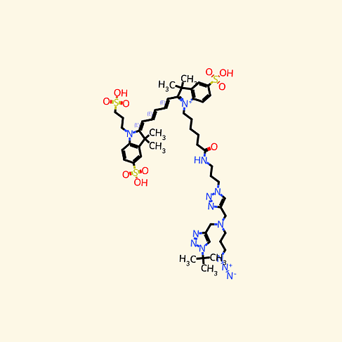 CC1(C)C(/C=C/C=C/C=C2/N(CCCS(=O)(=O)O)c3ccc(S(=O)(=O)O)cc3C2(C)C)=[N+](CCCCCC(=O)NCCCn2cc(CN(CCCN=[N+]=[N-])Cc3cn(C(C)(C)C)nn3)nn2)c2ccc(S(=O)(=O)O)cc21